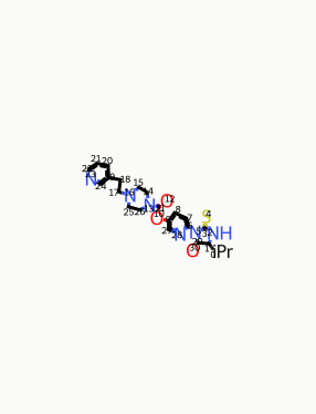 CC(C)C1NC(=S)N(c2ccc(OC(=O)N3CCN(CCc4cccnc4)CC3)cn2)C1=O